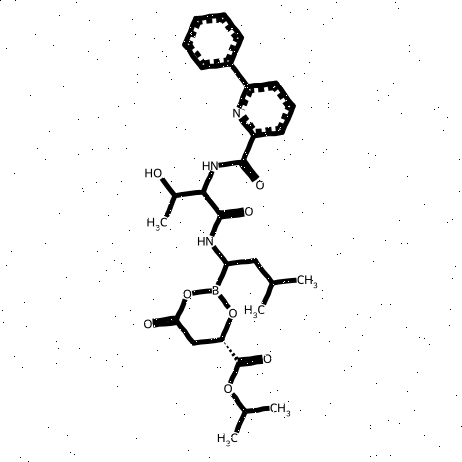 CC(C)CC(NC(=O)C(NC(=O)c1cccc(-c2ccccc2)n1)C(C)O)B1OC(=O)C[C@@H](C(=O)OC(C)C)O1